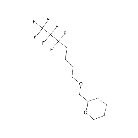 FC(F)(F)C(F)(F)C(F)(F)CCCCOCC1CCCCO1